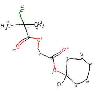 CCC1(OC(=O)COC(=O)C(C)(C)F)CCCCC1